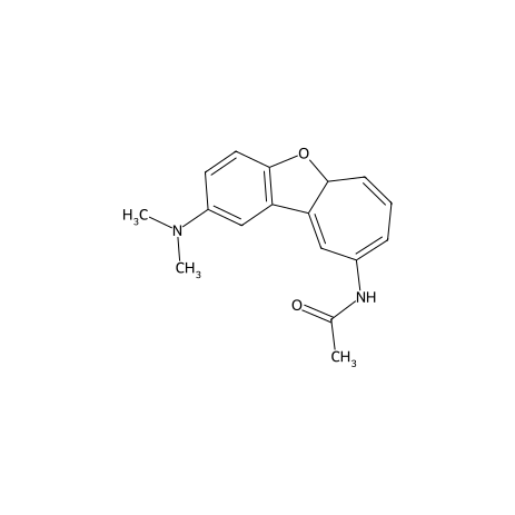 CC(=O)NC1=CC=CC2Oc3ccc(N(C)C)cc3C2=C1